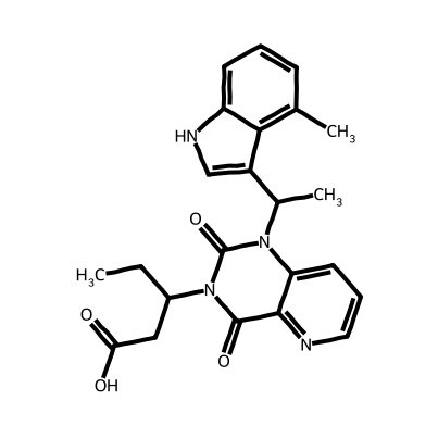 CCC(CC(=O)O)n1c(=O)c2ncccc2n(C(C)c2c[nH]c3cccc(C)c23)c1=O